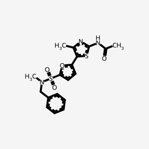 CC(=O)Nc1nc(C)c(-c2ccc(S(=O)(=O)N(C)Cc3ccccc3)o2)s1